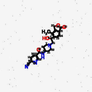 Cc1c(C(O)CN2CCC(NC(=O)c3ccc(C#N)nc3)CC2)ccc2c1COC2=O